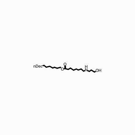 CCCCCCCCCCCCCCCCCOC(=O)CCCCCCCNCCCO